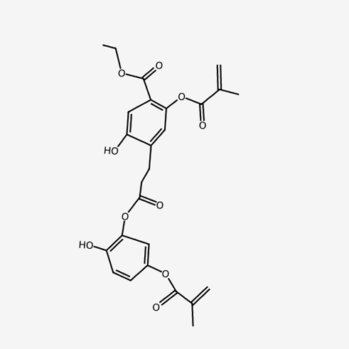 C=C(C)C(=O)Oc1ccc(O)c(OC(=O)CCc2cc(OC(=O)C(=C)C)c(C(=O)OCC)cc2O)c1